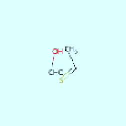 CC=S.O=CO